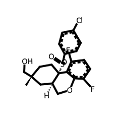 C[C@@]1(CO)CC[C@@]2(S(=O)(=O)c3ccc(Cl)cc3)c3c(F)ccc(F)c3OC[C@H]2C1